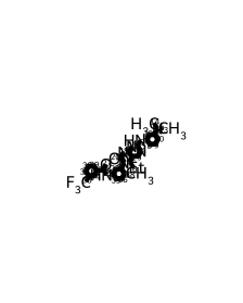 CCc1c2cnc(Nc3cccc(N(C)C)c3)nc2nc(=O)n1-c1cc(NC(=O)c2cccc(C(F)(F)F)c2)ccc1C